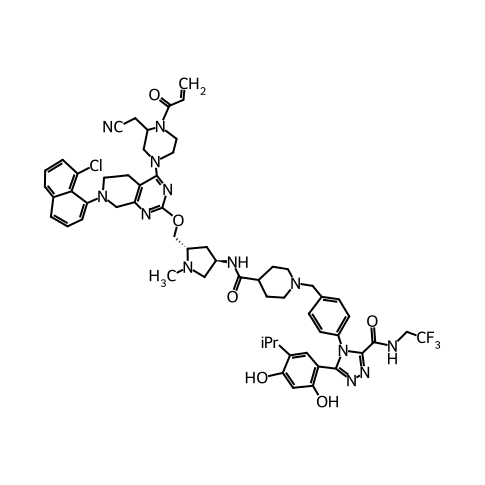 C=CC(=O)N1CCN(c2nc(OC[C@@H]3C[C@@H](NC(=O)C4CCN(Cc5ccc(-n6c(C(=O)NCC(F)(F)F)nnc6-c6cc(C(C)C)c(O)cc6O)cc5)CC4)CN3C)nc3c2CCN(c2cccc4cccc(Cl)c24)C3)CC1CC#N